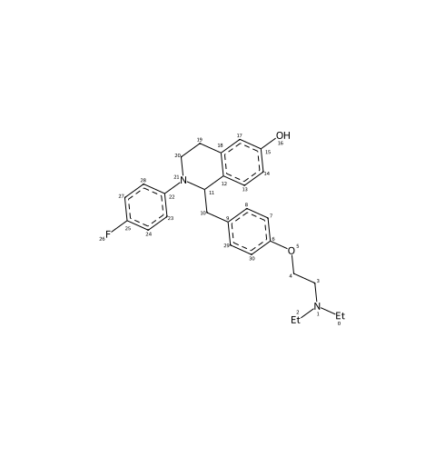 CCN(CC)CCOc1ccc(CC2c3ccc(O)cc3CCN2c2ccc(F)cc2)cc1